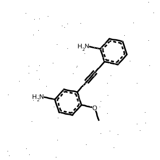 COc1ccc(N)cc1C#Cc1ccccc1N